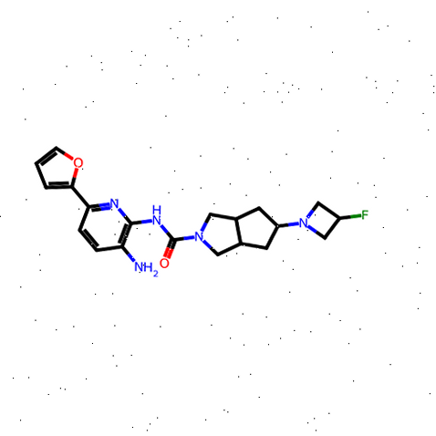 Nc1ccc(-c2ccco2)nc1NC(=O)N1CC2CC(N3CC(F)C3)CC2C1